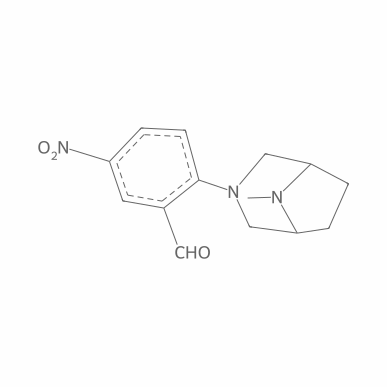 CN1C2CCC1CN(c1ccc([N+](=O)[O-])cc1C=O)C2